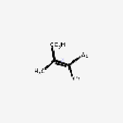 CCC/C(C(C)=O)=C(\C)C(=O)O